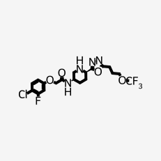 O=C(COc1ccc(Cl)c(F)c1)N[C@H]1CC[C@H](c2nnc(CCCOC(F)(F)F)o2)NC1